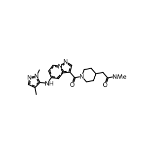 CNC(=O)CC1CCN(C(=O)c2cnn3ccc(Nc4c(C)cnn4C)cc23)CC1